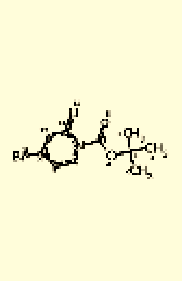 CC(C)(C)OC(=O)n1ccc(Br)cc1=O